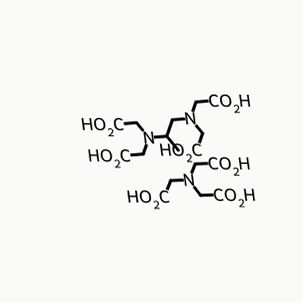 CC(CN(CC(=O)O)CC(=O)O)N(CC(=O)O)CC(=O)O.O=C(O)CN(CC(=O)O)CC(=O)O